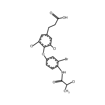 CC(Cl)C(=O)Nc1ccc(Oc2c(Cl)cc(CCC(=O)O)cc2Cl)cc1Br